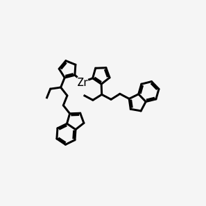 CCC(CCC1=CCc2ccccc21)C1=[C]([Zr][C]2=C(C(CC)CCC3=CCc4ccccc43)C=CC2)CC=C1